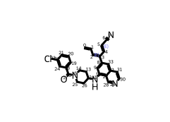 C=C/C=C(\C=C\C#N)c1cc(NC2CCN(C(=O)c3cccc(Cl)c3)CC2)c2cnccc2c1